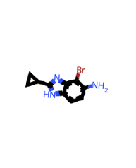 Nc1ccc2[nH]c(C3CC3)nc2c1Br